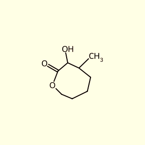 CC1CCCCOC(=O)C1O